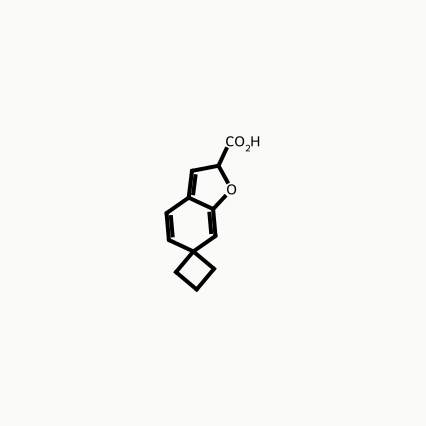 O=C(O)C1C=C2C=CC3(C=C2O1)CCC3